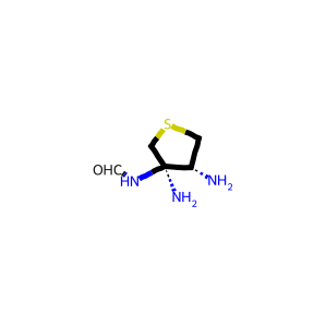 N[C@H]1CSC[C@]1(N)NC=O